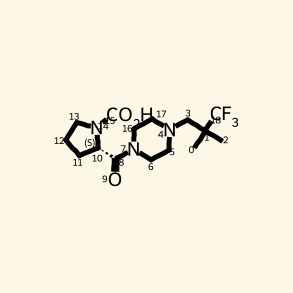 CC(C)(CN1CCN(C(=O)[C@@H]2CCCN2C(=O)O)CC1)C(F)(F)F